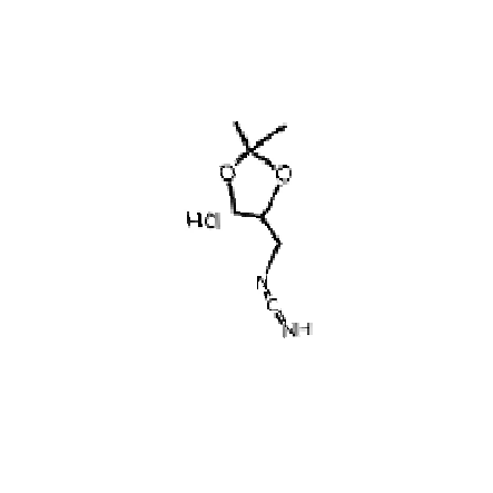 CC1(C)OCC(CN=C=N)O1.Cl